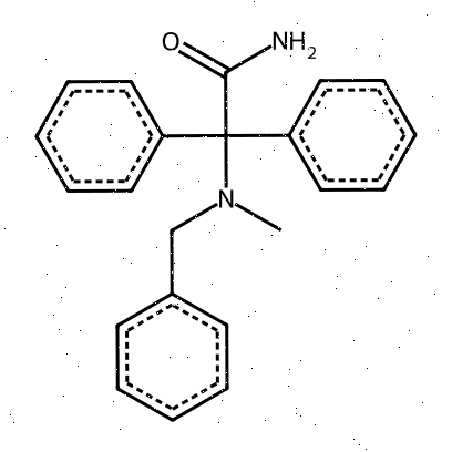 CN(Cc1ccccc1)C(C(N)=O)(c1ccccc1)c1ccccc1